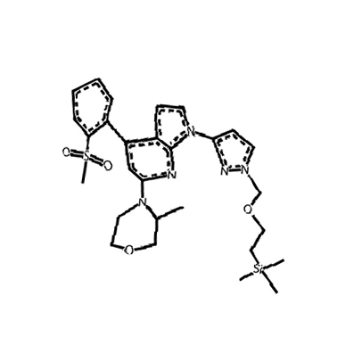 CC1COCCN1c1cc(-c2ccccc2S(C)(=O)=O)c2ccn(-c3ccn(COCC[Si](C)(C)C)n3)c2n1